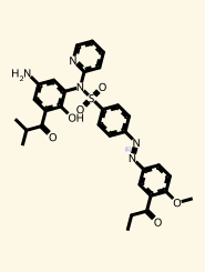 CCC(=O)c1cc(/N=N/c2ccc(S(=O)(=O)N(c3ccccn3)c3cc(N)cc(C(=O)C(C)C)c3O)cc2)ccc1OC